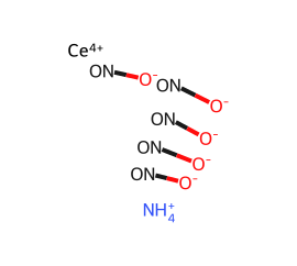 O=N[O-].O=N[O-].O=N[O-].O=N[O-].O=N[O-].[Ce+4].[NH4+]